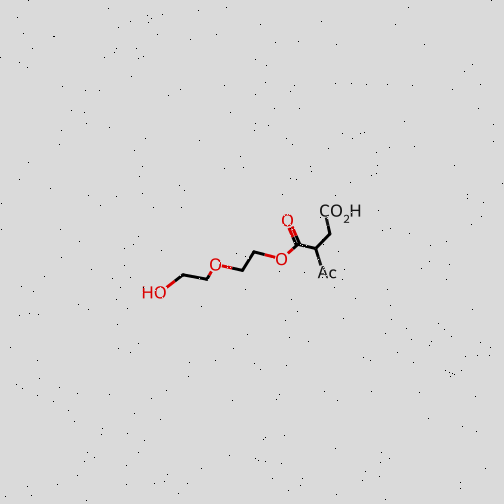 CC(=O)C(CC(=O)O)C(=O)OCCOCCO